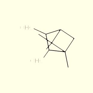 CC1(C)C2CC1(C)C([C]=O)C2[C]=O